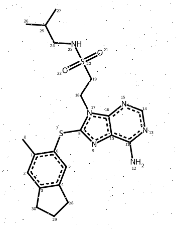 Cc1cc2c(cc1Sc1nc3c(N)ncnc3n1CCS(=O)(=O)NCC(C)C)CCC2